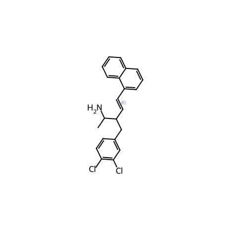 CC(N)C(/C=C/c1cccc2ccccc12)Cc1ccc(Cl)c(Cl)c1